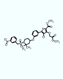 COC(=O)COc1c(C(=O)OC)sc(-c2cccc(OC3CCN(S(=O)(=O)Cc4cccc([N+](=O)[O-])c4)C(C)(C)C3)c2)c1Cl